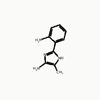 Cc1[nH]c(-c2ccccc2N)nc1N